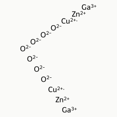 [Cu+2].[Cu+2].[Ga+3].[Ga+3].[O-2].[O-2].[O-2].[O-2].[O-2].[O-2].[O-2].[Zn+2].[Zn+2]